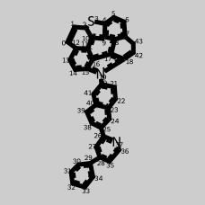 C1=CC2Sc3ccc4c5c3c2c2c1ccc1c2c5c(n1-c1ccc2cc(-c3cc(-c5ccccc5)ccn3)ccc2c1)=CC4